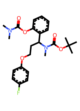 CN(C)C(=O)Oc1ccccc1C(CCOc1ccc(F)cc1)N(C)C(=O)OC(C)(C)C